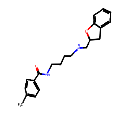 O=C(NCCCCNCC1Cc2ccccc2O1)c1ccc(C(F)(F)F)cc1